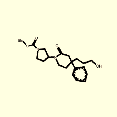 CC(C)(C)OC(=O)N1CCC(N2CCC(CCCO)(c3ccccc3)CC2=O)C1